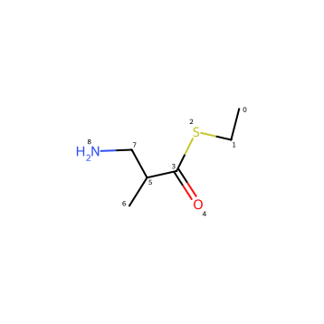 CCSC(=O)C(C)CN